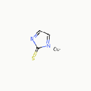 S=C1N=CC=N1.[Cu]